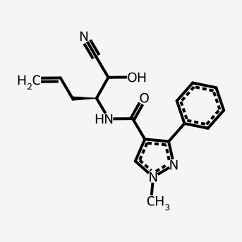 C=CC[C@H](NC(=O)c1cn(C)nc1-c1ccccc1)C(O)C#N